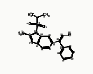 CC(C)S(=O)(=O)n1c(N)nc2ccc(C(=CCl)c3ccccc3)cc21